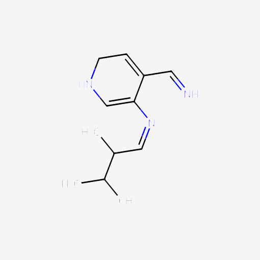 CC(C)C(C)/C=N\C1=CNCC=C1C=N